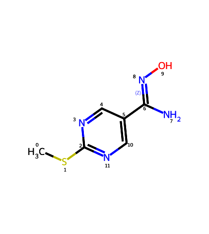 CSc1ncc(/C(N)=N/O)cn1